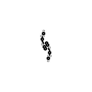 COc1ccc(OC(=O)c2ccc(/C=C/C(=O)Oc3ccc4ccccc4c3-c3c(OC(=O)/C=C/c4ccc(C(=O)Oc5ccc(OC)cc5)cc4)ccc4ccccc34)cc2)cc1